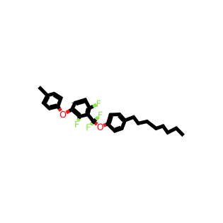 CCCCCCCCc1ccc(OC(F)(F)c2c(F)c[c]c(Oc3ccc(C)cc3)c2F)cc1